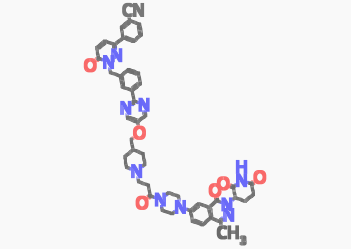 Cc1nn(C2CCC(=O)NC2=O)c(=O)c2cc(N3CCN(C(=O)CCN4CCC(COc5cnc(-c6cccc(Cn7nc(-c8cccc(C#N)c8)ccc7=O)c6)nc5)CC4)CC3)ccc12